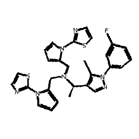 Cc1c([C@@H](C)N(Cc2cccn2-c2nccs2)Cc2cccn2-c2nccs2)cnn1-c1cccc(F)c1